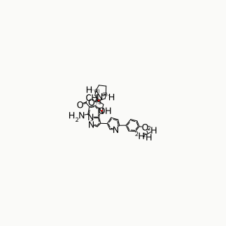 [2H]C([2H])([2H])Oc1ccc(-c2ccc(-c3cnn4c(N)c(C(C)=O)c([C@@H]5C[C@H]6CC[C@@H](C5)N6C(=O)CO)nc34)cn2)cc1